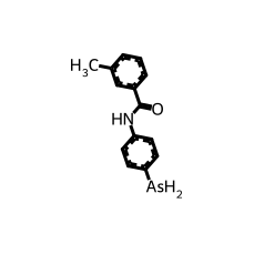 Cc1cccc(C(=O)Nc2ccc([AsH2])cc2)c1